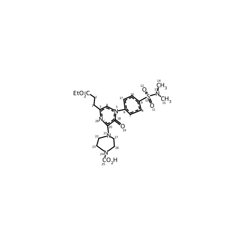 CCOC(=O)CCc1cn(-c2ccc(S(=O)(=O)N(C)C)cc2)c(=O)c(N2CCN(C(=O)O)CC2)n1